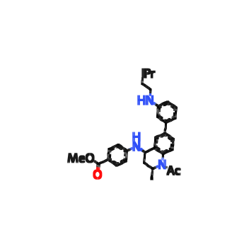 COC(=O)c1ccc(N[C@@H]2C[C@H](C)N(C(C)=O)c3ccc(-c4cccc(NCCC(C)C)c4)cc32)cc1